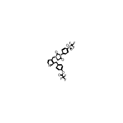 O=C1CN(Cc2ccncc2Cc2ccc(OC(=O)C(F)(F)F)cc2)C(=O)N1c1ccc(S(=O)(=O)C(F)(F)F)cc1